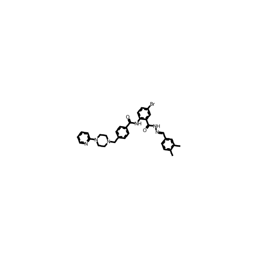 Cc1ccc(/C=N/NC(=O)c2cc(Br)ccc2NC(=O)c2ccc(CN3CCN(c4ccccn4)CC3)cc2)cc1C